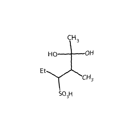 CCC(C(C)C(C)(O)O)S(=O)(=O)O